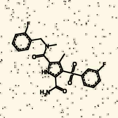 Cc1c(C(=O)N(C)Cc2ccccc2F)[nH]c(C(N)=O)c1S(=O)(=O)c1cccc(F)c1